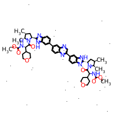 COC(=O)N[C@H](C(=O)N1[C@H](C)[C@H](C)C[C@H]1c1nc2ccc(-c3ccc4nc(-c5ccc6nc([C@@H]7C[C@@H](C)[C@@H](C)N7C(=O)[C@@H](NC(=O)OC)C7CCOCC7)[nH]c6c5)cnc4c3)cc2[nH]1)C1CCOCC1